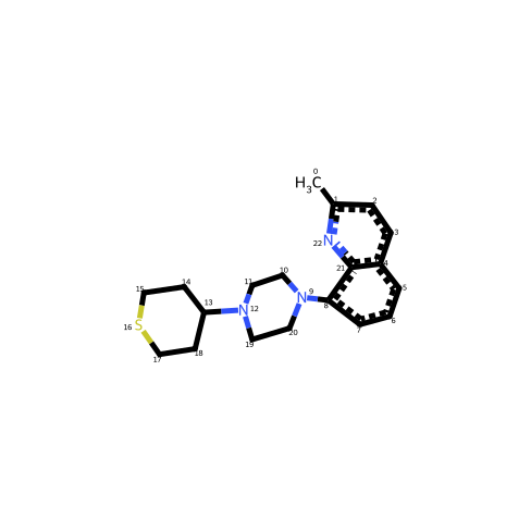 Cc1ccc2cccc(N3CCN(C4CCSCC4)CC3)c2n1